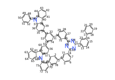 c1ccc(-c2cccc(-c3nc(-c4cccc(-c5ccccc5)c4)nc(-c4cccc(-c5cc(-c6ccc7c(c6)c6ccccc6n7-c6ccccc6)cc(-c6ccc7c(c6)c6ccccc6n7-c6ccccc6)c5)c4)n3)c2)cc1